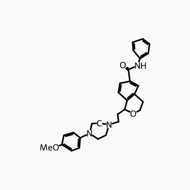 COc1ccc(N2CCN(CCC3OCCc4cc(C(=O)Nc5ccccc5)ccc43)CC2)cc1